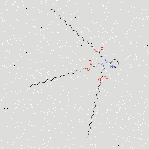 CCCCCCCCCCCCCCCCOC(=O)CCN(CCC(=O)OCCCCCCCCCCCCCCCC)N(CCC(=O)OCCCCCCCCCCCCCCCC)c1ccccn1